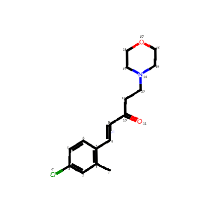 Cc1cc(Cl)ccc1/C=C/C(=O)CCN1CCOCC1